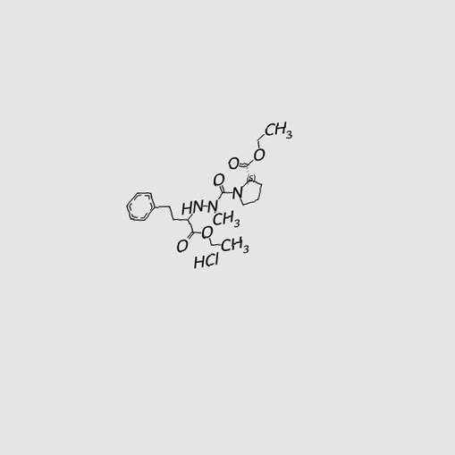 CCOC(=O)C(CCc1ccccc1)NN(C)C(=O)N1CCC[C@H]1C(=O)OCC.Cl